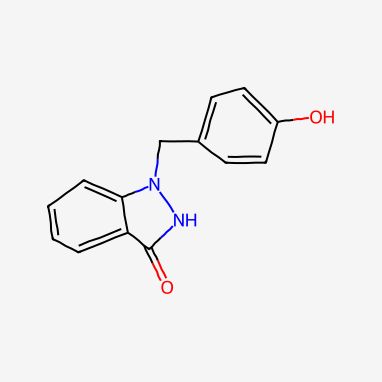 O=c1[nH]n(Cc2ccc(O)cc2)c2ccccc12